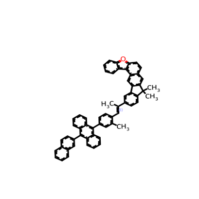 C/C(=C\c1ccc(-c2c3ccccc3c(-c3ccc4ccccc4c3)c3ccccc23)cc1C)c1ccc2c(c1)-c1cc3c(ccc4oc5ccccc5c43)cc1C2(C)C